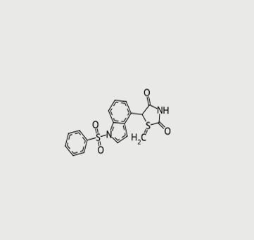 C=S1C(=O)NC(=O)C1c1cccc2c1ccn2S(=O)(=O)c1ccccc1